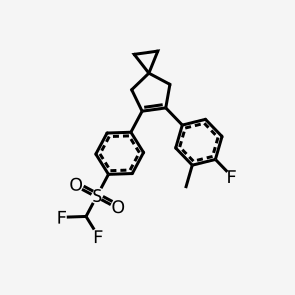 Cc1cc(C2=C(c3ccc(S(=O)(=O)C(F)F)cc3)CC3(CC3)C2)ccc1F